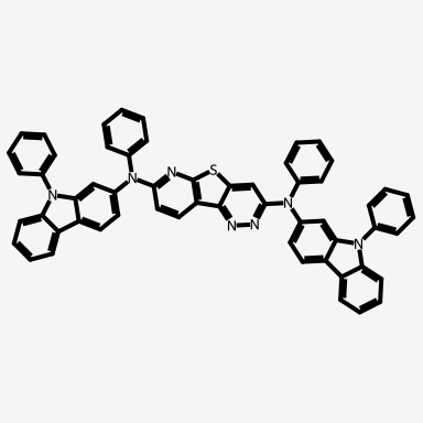 c1ccc(N(c2ccc3c4ccccc4n(-c4ccccc4)c3c2)c2cc3sc4nc(N(c5ccccc5)c5ccc6c7ccccc7n(-c7ccccc7)c6c5)ccc4c3nn2)cc1